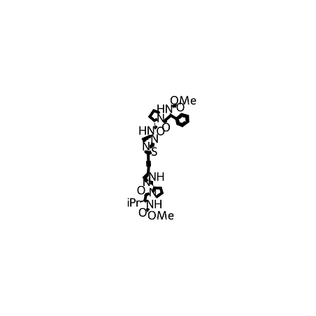 COC(=O)N[C@H](C(=O)N1CCC[C@H]1c1ncc(C#Cc2cn3cc(NC(=O)[C@@H]4CCCN4C(=O)[C@H](NC(=O)OC)c4ccccc4)nc3s2)[nH]1)C(C)C